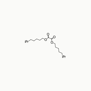 CC(C)CCCCCOC(=O)C(=O)OCCCCCC(C)C